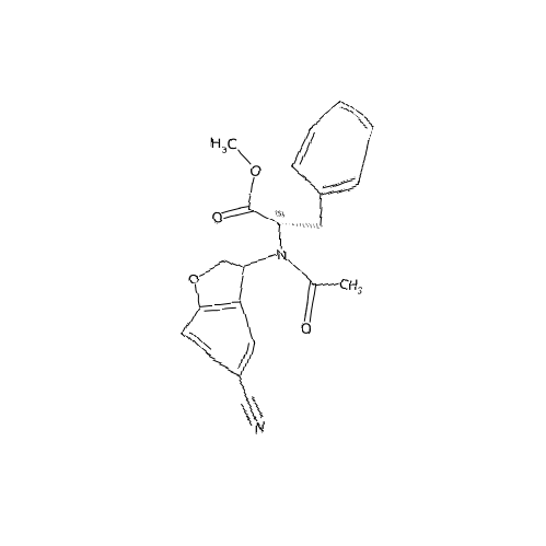 COC(=O)[C@H](Cc1ccccc1)N(C(C)=O)C1COc2ccc(C#N)cc21